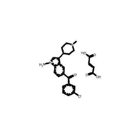 CN1CCC(c2cn(N)c3ccc(C(=O)c4cccc(Cl)c4)cc23)CC1.O=C(O)C=CC(=O)O